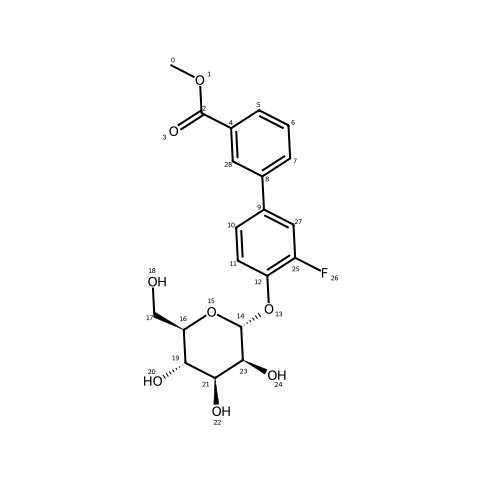 COC(=O)c1cccc(-c2ccc(O[C@H]3O[C@H](CO)[C@@H](O)[C@H](O)[C@@H]3O)c(F)c2)c1